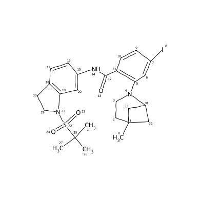 CC12CCN(c3cc(I)ccc3C(=O)Nc3ccc4c(c3)N(S(=O)(=O)C(C)(C)C)CC4)C(C1)C2